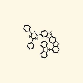 C1=C(n2c3ccccc3c3ccccc32)c2c(sc3cc4sc5ccc(-c6nc(-c7ccccc7)nc(-c7ccccc7)n6)cc5c4cc23)CC1